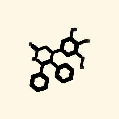 CCOc1cc(C2CC(=O)NC(c3ccccc3)=C2c2ccccc2)cc(N=O)c1O